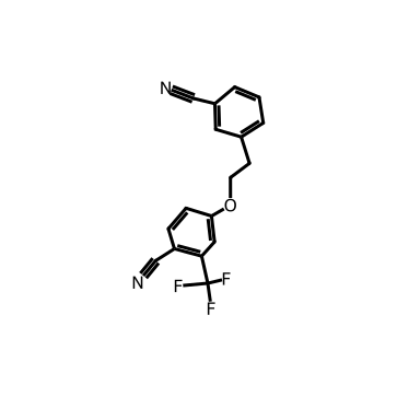 N#Cc1cccc(CCOc2ccc(C#N)c(C(F)(F)F)c2)c1